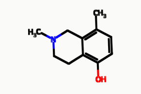 Cc1ccc(O)c2c1CN(C)CC2